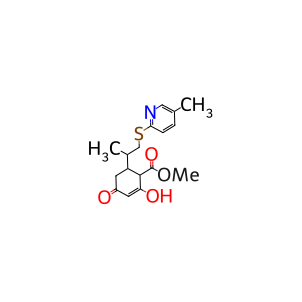 COC(=O)C1C(O)=CC(=O)CC1C(C)CSc1ccc(C)cn1